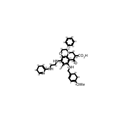 COC1=CC=C(CNc2c(F)c(NCCNC3=CCCC=N3)c3c4c2C(=O)C(C(=O)O)CN4[C@@H](c2ccccc2)CO3)CC1